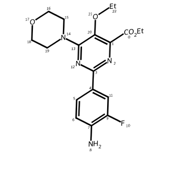 CCOC(=O)c1nc(-c2ccc(N)c(F)c2)nc(N2CCOCC2)c1OCC